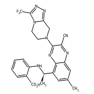 Cc1cc([C@@H](C)Nc2ccccc2C(=O)O)c2nc(N3CCn4c(nnc4C(F)(F)F)C3)c(C#N)nc2c1